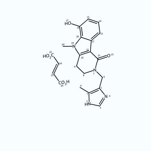 Cc1[nH]cnc1CN1CCc2c(c3cccc(O)c3n2C)C1=O.O=C(O)C=CC(=O)O